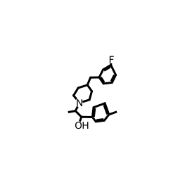 Cc1ccc(C(O)C(C)N2CCC(Cc3cccc(F)c3)CC2)cc1